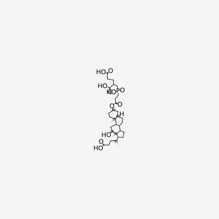 C[C@H](CCC(=O)O)C1CCC2C3CC[C@@H]4C[C@H](OC(=O)CCP(=O)(O)CC(CCC(=O)O)C(=O)O)CC[C@]4(C)C3C[C@H](O)[C@@]21C